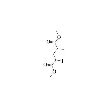 COC(=O)C(I)CC(I)C(=O)OC